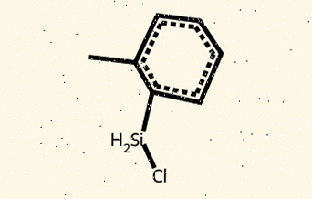 Cc1ccccc1[SiH2]Cl